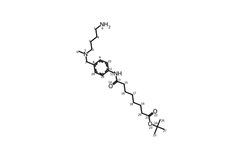 CN(CCCCN)Cc1ccc(NC(=O)CCCCCCC(=O)OC(C)(C)C)cc1